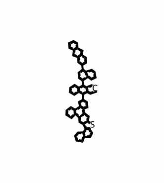 c1ccc2cc3cc(-c4ccc(-c5c6ccccc6c(-c6ccc7c(c6)c6ccccc6c6cc8c(cc76)sc6ccc7ccccc7c68)c6ccccc56)c5ccccc45)ccc3cc2c1